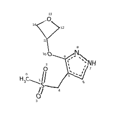 CS(=O)(=O)Cc1c[nH]nc1OC1COC1